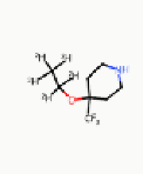 [2H]C([2H])([2H])C([2H])([2H])OC1(C(F)(F)F)CCNCC1